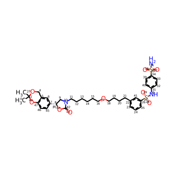 CC1(C)OCc2cc([C@@H]3CN(CCCCCCOCCCCc4cccc(S(=O)(=O)Nc5ccc(S(N)(=O)=O)cc5)c4)C(=O)O3)ccc2O1